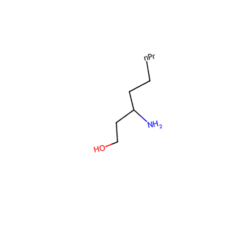 CCCCCC(N)CCO